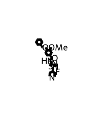 COc1cc(C(=O)Nc2nnc(-c3ccncc3F)s2)ccc1OCc1ccccc1